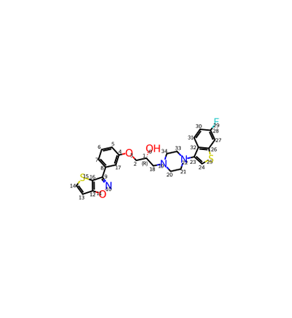 O[C@@H](COc1cccc(-c2noc3ccsc23)c1)CN1CCN(c2csc3cc(F)ccc23)CC1